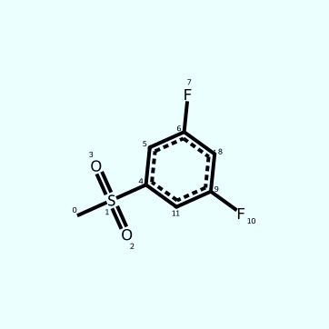 CS(=O)(=O)c1cc(F)[c]c(F)c1